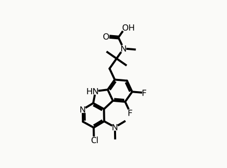 CN(C)c1c(Cl)cnc2[nH]c3c(CC(C)(C)N(C)C(=O)O)cc(F)c(F)c3c12